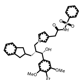 CCc1c(OC)cc([C@@H](O)[C@H](CC2Cc3ccccc3C2)Cn2ccc(CC(=O)NS(=O)(=O)c3ccccc3)c2)cc1OC